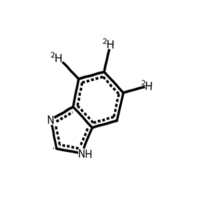 [2H]c1cc2[nH][c]nc2c([2H])c1[2H]